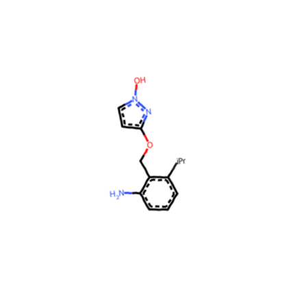 CC(C)c1cccc(N)c1COc1ccn(O)n1